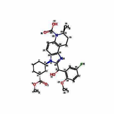 COC(=O)[C@@H]1CCC[C@@H](n2c(C(O)c3cc(F)ccc3OC)nc3c4c(ccc32)N(C(=O)O)[C@@H](C)CC4)C1